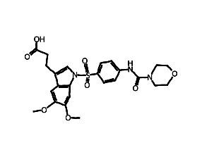 COc1cc2c(CCC(=O)O)cn(S(=O)(=O)c3ccc(NC(=O)N4CCOCC4)cc3)c2cc1OC